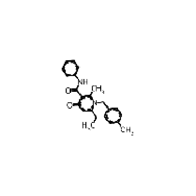 CCc1cc(=O)c(C(=O)Nc2ccccc2)c(C)n1Cc1ccc(C)cc1